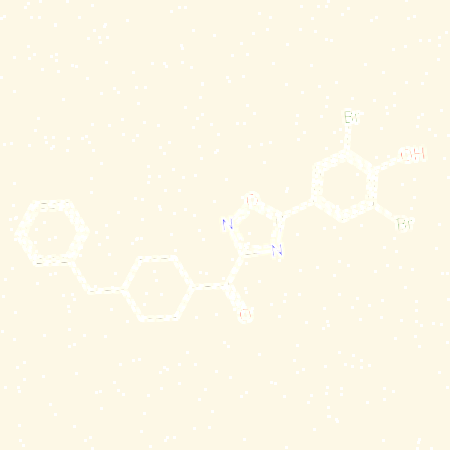 O=C(c1noc(-c2cc(Br)c(O)c(Br)c2)n1)C1CCC(Cc2ccccc2)CC1